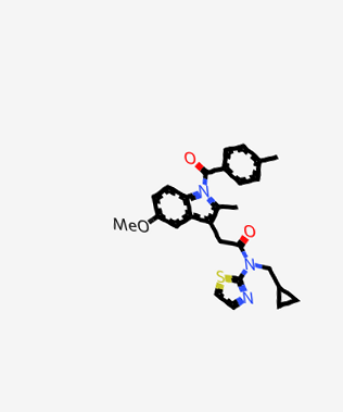 COc1ccc2c(c1)c(CC(=O)N(CC1CC1)c1nccs1)c(C)n2C(=O)c1ccc(C)cc1